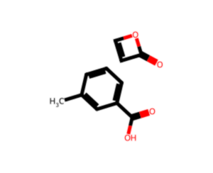 Cc1cccc(C(=O)O)c1.O=C1C=CO1